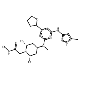 CCNC(=O)CN1[C@H](CC)C[C@@H](N(C)c2nc(Nc3cc(C)[nH]n3)cc(C3CCCO3)n2)C[C@@H]1CC